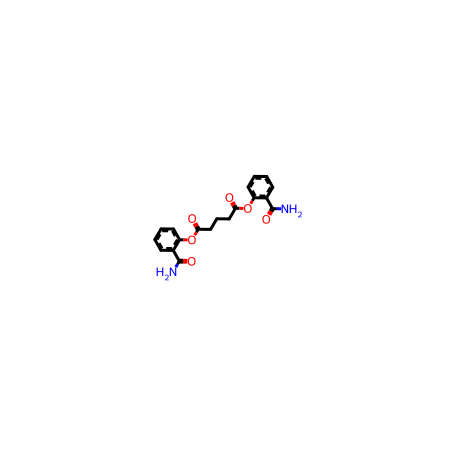 NC(=O)c1ccccc1OC(=O)CCCC(=O)Oc1ccccc1C(N)=O